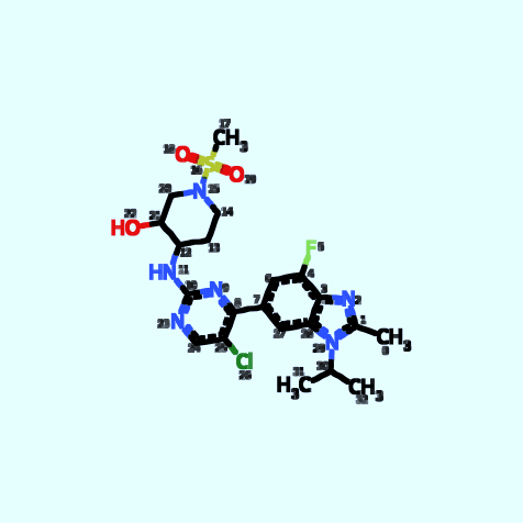 Cc1nc2c(F)cc(-c3nc(NC4CCN(S(C)(=O)=O)CC4O)ncc3Cl)cc2n1C(C)C